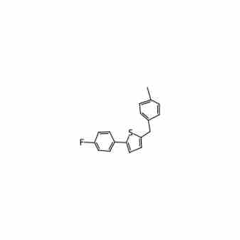 Cc1ccc(Cc2ccc(-c3ccc(F)cc3)s2)cc1